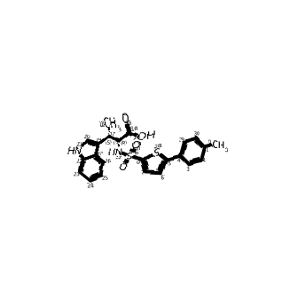 Cc1ccc(-c2ccc(S(=O)(=O)N[C@@H](C(=O)O)[C@@H](C)c3c[nH]c4ccccc34)s2)cc1